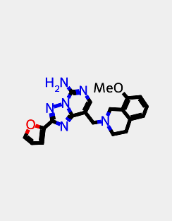 COc1cccc2c1CN(Cc1cnc(N)n3nc(-c4ccco4)nc13)CC2